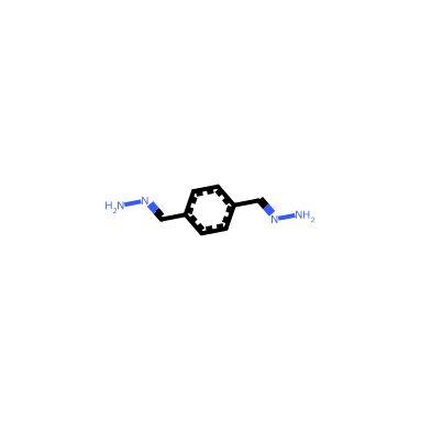 NN=Cc1ccc(C=NN)cc1